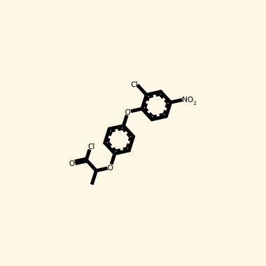 CC(Oc1ccc(Oc2ccc([N+](=O)[O-])cc2Cl)cc1)C(=O)Cl